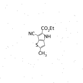 CCOC(=O)c1[nH]c2cc(C)sc2c1C#N